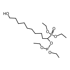 CCOP(OCC)OC(CCCCCCCCCO)P(=O)(OCC)OCC